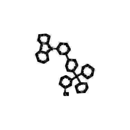 N#Cc1cccc([Si](c2ccccc2)(c2ccccc2)c2ccc(-c3cccc(-n4c5ccccc5c5ccccc54)c3)cc2)c1